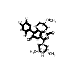 CO[C@H]1CSc2c(-c3cc(Cl)c(F)cc3F)c(Cl)cc3c(N4C[C@@H](C)N[C@@H](C)C4)nc(=O)n(c23)C1